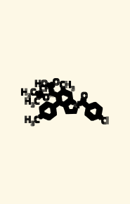 Cc1ccc(-c2c3c(cc(C)c2[C@H](OC(C)(C)C)C(=O)O)N(C(=O)c2ccc(Cl)cc2)CC3)cc1